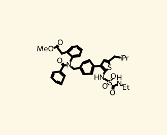 CCNC(=O)S(=O)(=O)Nc1sc(CC(C)C)cc1-c1ccc(CN(C(=O)c2ccccc2)c2ccccc2CC(=O)OC)cc1